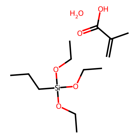 C=C(C)C(=O)O.CCC[Si](OCC)(OCC)OCC.O